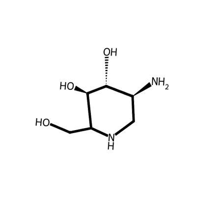 N[C@H]1CNC(CO)[C@@H](O)[C@@H]1O